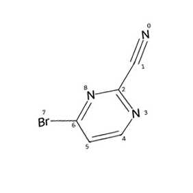 N#Cc1nccc(Br)n1